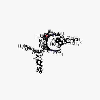 CCC(=O)OCOC(=O)N[C@H](CC(=O)Nc1ccc(CC(P=O)P=O)cc1)C(=O)NCC(=O)O[C@@H]1[C@@H](C)[C@@H](O)[C@@H](C)[C@H](OC(C)=O)[C@H](C)[C@@H](OC)/C=C/O[C@@]2(C)Oc3c(C)c(O)c4c(c3C2=O)C2=NC3(CCN(CC(C)C)CC3)NC2=C(NC(=O)/C(C)=C\C=C\[C@@H]1C)C4=O